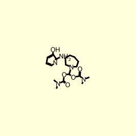 CN(C)C(=O)OC(OC(=O)N(C)C)N1CCCCCC1.Nc1ncccc1O